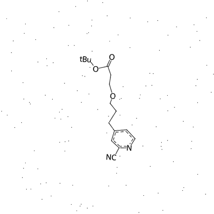 CC(C)(C)OC(=O)CCOCCCc1ccnc(C#N)c1